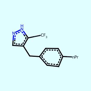 CCCc1ccc(Cc2cn[nH]c2C(F)(F)F)cc1